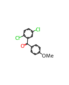 COc1ccc(C(=O)c2cc(Cl)ccc2Cl)cc1